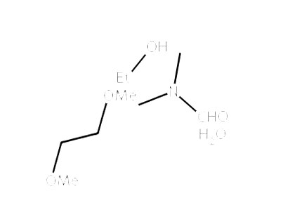 CCO.CN(C)C=O.COCCOC.O